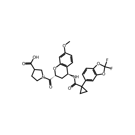 COc1ccc2c(c1)O[C@@H](C(=O)N1CCC(C(=O)O)C1)C[C@@H]2NC(=O)C1(c2ccc3c(c2)OC(F)(F)O3)CC1